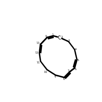 C1=CCCCC=CC=CCCCC=C1